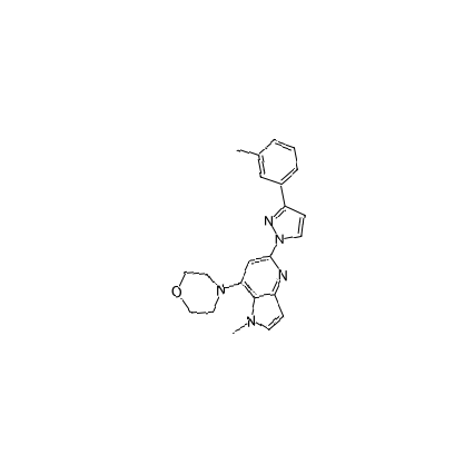 Cc1cccc(-c2ccn(-c3cc(N4CCOCC4)c4c(ccn4C)n3)n2)c1